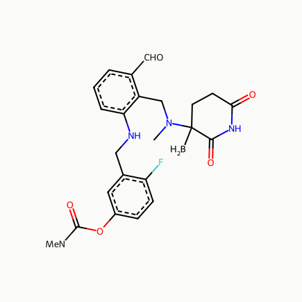 BC1(N(C)Cc2c(C=O)cccc2NCc2cc(OC(=O)NC)ccc2F)CCC(=O)NC1=O